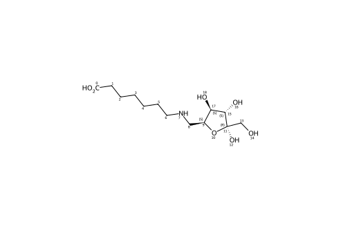 O=C(O)CCCCCCNC[C@@H]1O[C@](O)(CO)[C@@H](O)[C@@H]1O